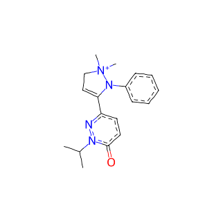 CC(C)n1nc(C2=CC[N+](C)(C)N2c2ccccc2)ccc1=O